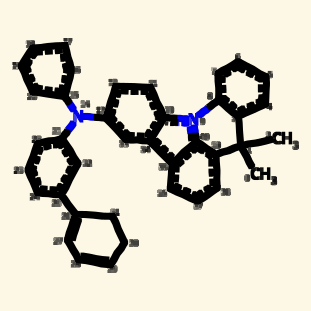 CC1(C)c2ccccc2-n2c3ccc(N(c4ccccc4)c4cccc(C5=CC=CCC5)c4)cc3c3cccc1c32